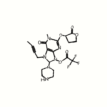 CC#CCN1c2c(nc(OC3CCOC3=O)n(C)c2=O)N(OC(=O)C(F)(F)F)C1N1CCNCC1